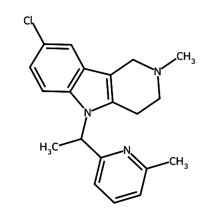 Cc1cccc(C(C)n2c3c(c4cc(Cl)ccc42)CN(C)CC3)n1